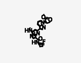 CNc1cc(-c2cnc3n([C@H]4CCOC[C@@H]4OC)cccc2-3)nc2c(C(=O)N[C@@H]3CC[C@@H]3F)cnn12